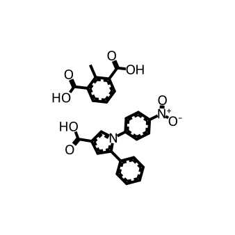 Cc1c(C(=O)O)cccc1C(=O)O.O=C(O)c1cc(-c2ccccc2)n(-c2ccc([N+](=O)[O-])cc2)c1